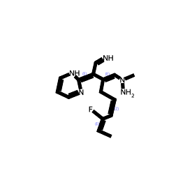 C/C=C(F)\C=C/CC(=C\N(C)N)/C(C=N)=C1\N=CC=CN1